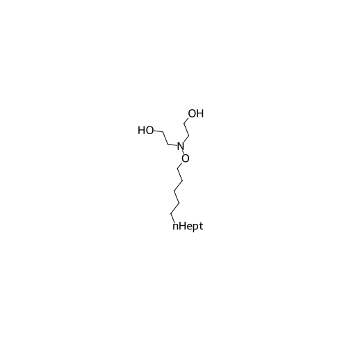 CCCCCCCCCCCCON(CCO)CCO